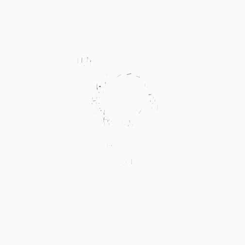 CO[C@@H]1C[C@H](C[C@@H](C)[C@@H]2CC(=O)[C@H](C)/C=C(\C)[C@@H](O)[C@@H](OC)C(=O)[C@H](C)C[C@H](C)/C=C/C=C/C=C(\C)C(OCCCCC(N)=O)C[C@@H]3CC[C@@H](C)[C@@]4(OOC4(C)C(=O)N4CCCC[C@H]4C(=O)O2)O3)CC[C@H]1OCCO